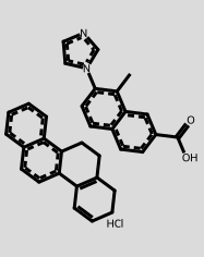 C1=CC2=C(CC1)CCc1c2ccc2ccccc12.Cc1c(-n2ccnc2)ccc2ccc(C(=O)O)cc12.Cl